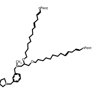 CCCCCC=CCC=CCCCCCCCCOCC(CN(C)Cc1cccc(CN2CCCC2)c1)OCCCCCCCCC=CCC=CCCCCC